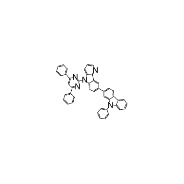 c1ccc(-c2cc(-c3ccccc3)nc(-n3c4ccc(-c5ccc6c7ccccc7n(-c7ccccc7)c6c5)cc4c4ncccc43)n2)cc1